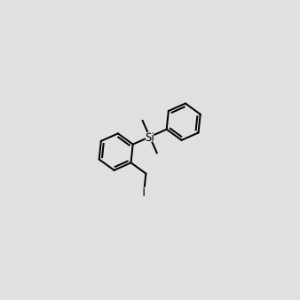 C[Si](C)(c1ccccc1)c1ccccc1CI